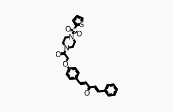 O=C(C=Cc1ccccc1)C=Cc1ccc(OCC(=O)N2CCN(S(=O)(=O)c3cccs3)CC2)cc1